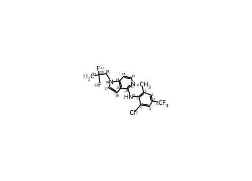 Cc1cc(C(F)(F)F)cc(Cl)c1Nc1nccc2c1ccn2CC(C)(F)F